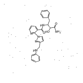 NC(=O)C(O)C(Cc1ccccc1)NC(=O)c1cccnc1-n1ccc(CNc2ccccc2)n1